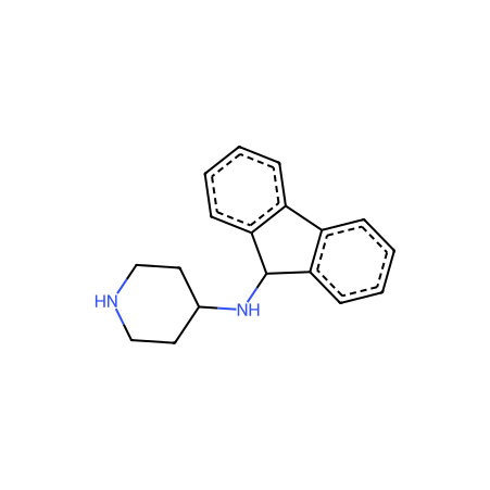 c1ccc2c(c1)-c1ccccc1C2NC1CCNCC1